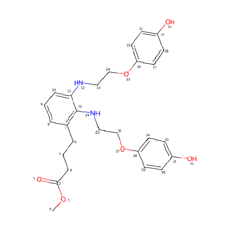 COC(=O)CCCc1cccc(NCCOc2ccc(O)cc2)c1NCCOc1ccc(O)cc1